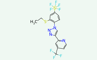 CCSc1cc(S(F)(F)(F)(F)F)ccc1-n1cc(-c2cc(C(F)(F)F)ccn2)nn1